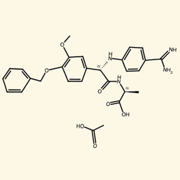 CC(=O)O.COc1cc([C@H](Nc2ccc(C(=N)N)cc2)C(=O)N[C@@H](C)C(=O)O)ccc1OCc1ccccc1